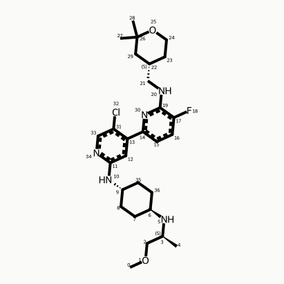 COC[C@H](C)N[C@H]1CC[C@H](Nc2cc(-c3ccc(F)c(NC[C@H]4CCOC(C)(C)C4)n3)c(Cl)cn2)CC1